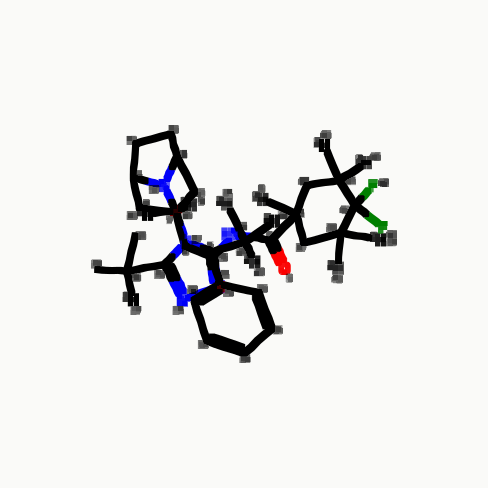 [2H]C1(C(=O)NC(CC([2H])([2H])N2C3CCC2CC(n2c(C([2H])([2H])[2H])nnc2C([2H])(C)C)C3)c2ccccc2)CC([2H])([2H])C(F)(F)C([2H])([2H])C1